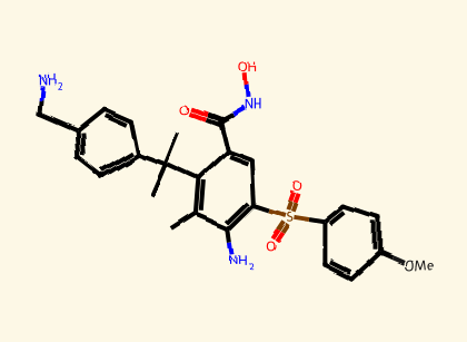 COc1ccc(S(=O)(=O)c2cc(C(=O)NO)c(C(C)(C)c3ccc(CN)cc3)c(C)c2N)cc1